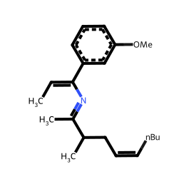 C/C=C(\N=C(/C)C(C)C/C=C\CCCC)c1cccc(OC)c1